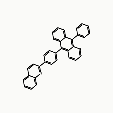 c1ccc(-c2c3ccccc3c(-c3ccc(-c4ccc5ccccc5n4)cc3)c3cccnc23)cc1